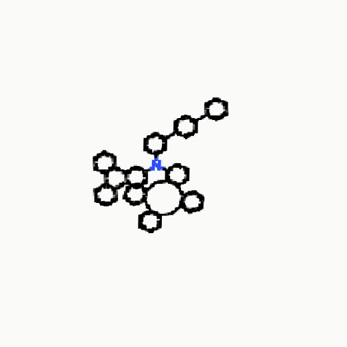 c1ccc(-c2ccc(-c3cccc(N(c4ccc5c6ccccc6c6ccccc6c5c4)c4cccc5c4Cc4ccccc4-c4ccccc4Cc4ccccc4-5)c3)cc2)cc1